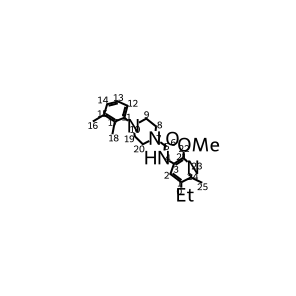 CCc1cc(NC(=O)N2CCN(c3cccc(C)c3C)CC2)c(OC)nc1C